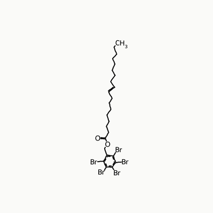 CCCCCCCC/C=C/CCCCCCCC(=O)OCc1c(Br)c(Br)c(Br)c(Br)c1Br